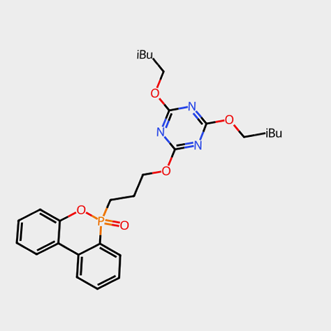 CCC(C)COc1nc(OCCCP2(=O)Oc3ccccc3-c3ccccc32)nc(OCC(C)CC)n1